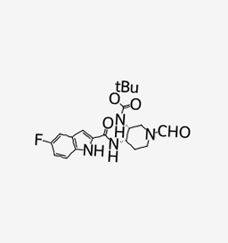 CC(C)(C)OC(=O)N[C@@H]1CN(C=O)CC[C@@H]1NC(=O)c1cc2cc(F)ccc2[nH]1